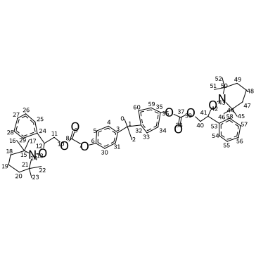 CC(C)(c1ccc(OC(=O)OCC(ON2C(C)(C)CCCC2(C)C)c2ccccc2)cc1)c1ccc(OC(=O)OCC(ON2C(C)(C)CCCC2(C)C)c2ccccc2)cc1